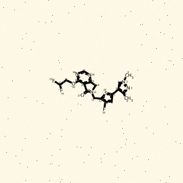 Cc1nn(C)cc1-c1cc(F)c(CN2Cc3ncnc(OCC(F)F)c3C2=O)s1